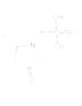 O=C1CN(CP(=O)(O)O)C(=S)S1